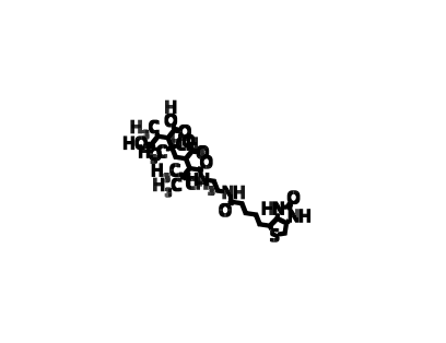 CC(C(=O)O)C(C(=O)O)C(C)(C)CC(C(=O)O)C(C(=O)NCCNC(=O)CCCCC1SCC2NC(=O)NC21)C(C)(C)C